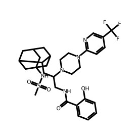 CS(=O)(=O)NC12CC3CC(C1)C(CC(CNC(=O)c1ccccc1O)N1CCN(c4ccc(C(F)(F)F)cn4)CC1)C(C3)C2